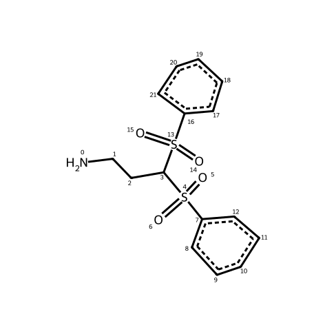 NCCC(S(=O)(=O)c1ccccc1)S(=O)(=O)c1ccccc1